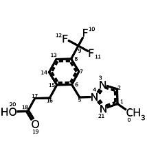 Cc1cnn(Cc2cc(C(F)(F)F)ccc2CCC(=O)O)n1